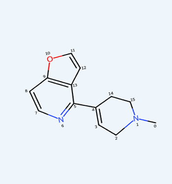 CN1CC=C(c2nccc3occc23)CC1